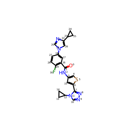 O=C(Nc1csc(-c2nncn2C2CC2)c1)c1cc(-n2cnc(C3CC3)c2)ccc1F